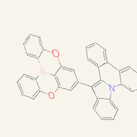 c1ccc2c(c1)Oc1cc(-c3c4ccccc4n4c5ccccc5c5ccccc5c34)cc3c1B2c1ccccc1O3